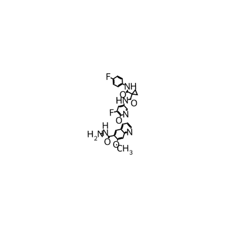 COc1cc2nccc(Oc3ncc(NC(=O)C4(C(=O)Nc5ccc(F)cc5)CC4)cc3F)c2cc1C(=O)NN